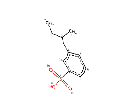 CCC(C)c1cccc(S(=O)(=O)O)c1